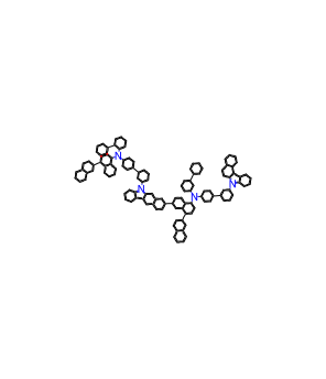 c1ccc(-c2cccc(N(c3ccc(-c4cccc(-n5c6ccccc6c6c7ccccc7ccc65)c4)cc3)c3ccc(-c4ccc5ccccc5c4)c4cc(-c5ccc6cc7c8ccccc8n(-c8cccc(-c9ccc(N(c%10ccccc%10-c%10ccccc%10)c%10ccc(-c%11ccc%12ccccc%12c%11)c%11ccccc%10%11)cc9)c8)c7cc6c5)ccc34)c2)cc1